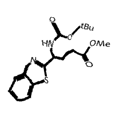 COC(=O)CCC(NC(=O)OC(C)(C)C)c1nc2ccccc2s1